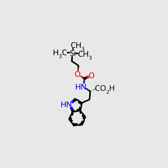 C[Si](C)(C)CCOC(=O)N[C@@H](Cc1c[nH]c2ccccc12)C(=O)O